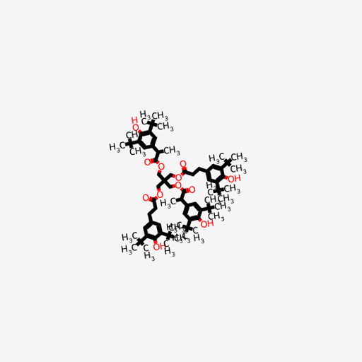 CC(C(=O)OCC(COC(=O)CCc1cc(C(C)(C)C)c(O)c(C(C)(C)C)c1)(COC(=O)CCc1cc(C(C)(C)C)c(O)c(C(C)(C)C)c1)COC(=O)C(C)c1cc(C(C)(C)C)c(O)c(C(C)(C)C)c1)c1cc(C(C)(C)C)c(O)c(C(C)(C)C)c1